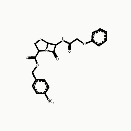 O=C(COc1ccccc1)NC1C(=O)N2C(C(=O)OCc3ccc([N+](=O)[O-])cc3)CSC12